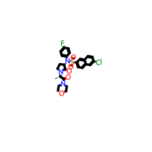 C[C@@H](C(=O)N1CCOCC1)N1CC[C@H](N(c2ccc(F)cc2)S(=O)(=O)c2ccc3cc(Cl)ccc3c2)C1=O